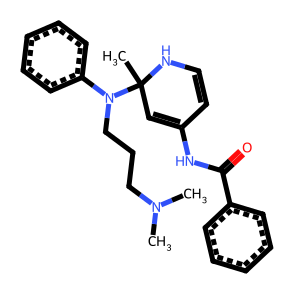 CN(C)CCCN(c1ccccc1)C1(C)C=C(NC(=O)c2ccccc2)C=CN1